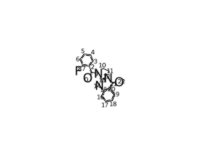 O=C(c1ccccc1F)N1CCn2c1nc1ccccc1c2=O